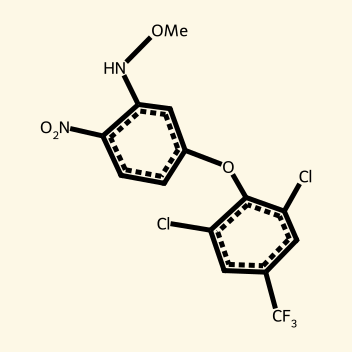 CONc1cc(Oc2c(Cl)cc(C(F)(F)F)cc2Cl)ccc1[N+](=O)[O-]